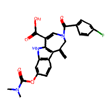 C=C1CN(C(=O)c2ccc(F)cc2)C=C(C(=O)O)c2[nH]c3cc(OC(=O)N(C)C)ccc3c21